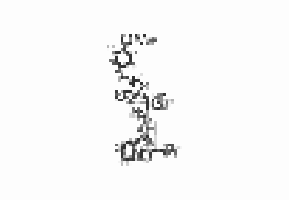 COc1ccc(CN2CCC3(CCN(CCC(NC(=O)C(C)C)c4ccccn4)CC3)C2=O)cc1.Cl.Cl